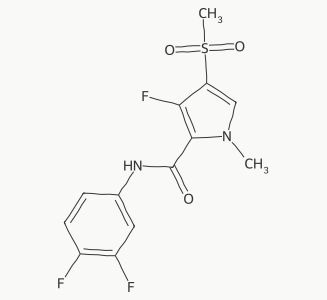 Cn1cc(S(C)(=O)=O)c(F)c1C(=O)Nc1ccc(F)c(F)c1